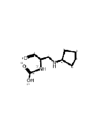 O=CC(CNC1CCCC1)NC(=O)O